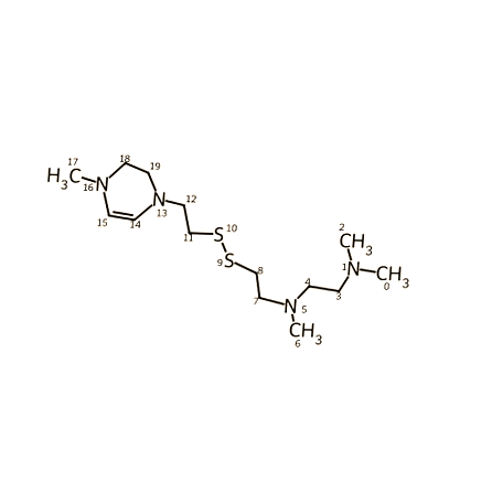 CN(C)CCN(C)CCSSCCN1C=CN(C)CC1